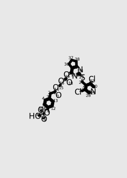 O=C(Cc1ccc(OP(=O)(O)O)cc1)OCOC(=O)Oc1nc(SCc2c(Cl)cncc2Cl)nc2c1CCC2